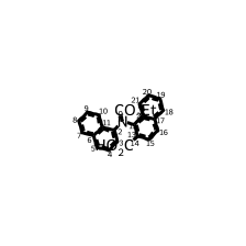 CCOC(=O)N(c1cccc2ccccc12)c1c(C(=O)O)ccc2ccccc12